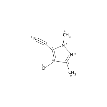 Cc1nn(C)c(C#N)c1Cl